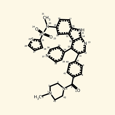 CN1CCN(C(=O)c2ccc(-c3cnc4[nH]c5ccc(N(C)S(=O)(=O)c6cccs6)cc5c4c3-c3ccncc3)cc2)CC1